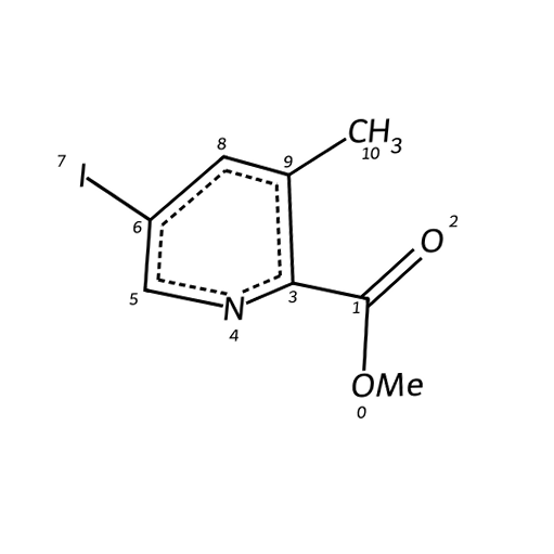 COC(=O)c1ncc(I)cc1C